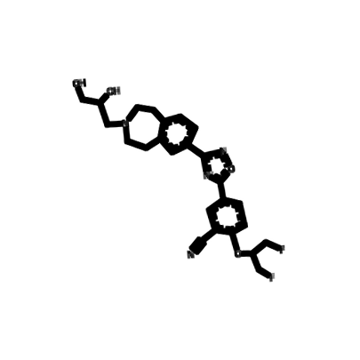 N#Cc1cc(-c2nc(-c3ccc4c(c3)CCN(CC(O)CO)CC4)no2)ccc1OC(CF)CF